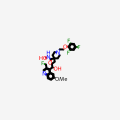 COc1ccc2ncc(CF)c([C@H](O)CCC3(C(=O)NO)CCN(CCOc4c(F)cc(F)cc4F)CC3)c2c1